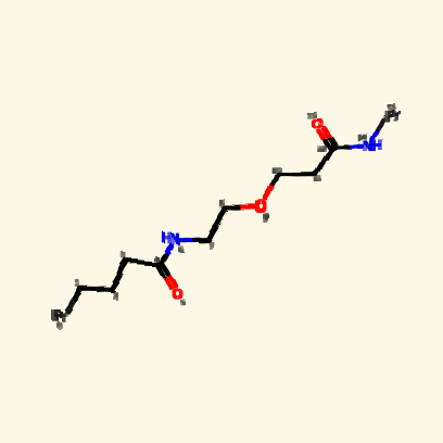 CC(C)CCCC(=O)NCCOCCC(=O)NC(C)C